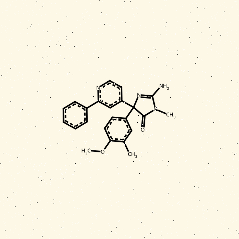 COc1ccc(C2(c3ccnc(-c4ccccc4)c3)N=C(N)N(C)C2=O)cc1C